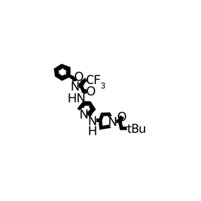 CC(C)(C)CC(=O)N1CCC(Nc2ccc(NC(=O)c3nc(-c4ccccc4)oc3C(F)(F)F)cn2)CC1